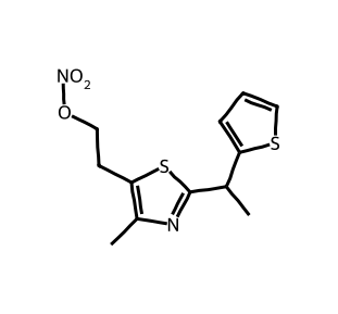 Cc1nc(C(C)c2cccs2)sc1CCO[N+](=O)[O-]